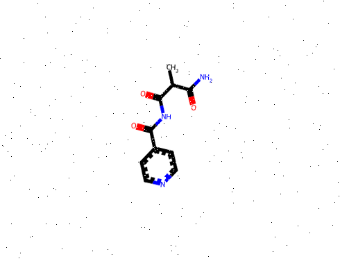 C[C](C(N)=O)C(=O)NC(=O)c1ccncc1